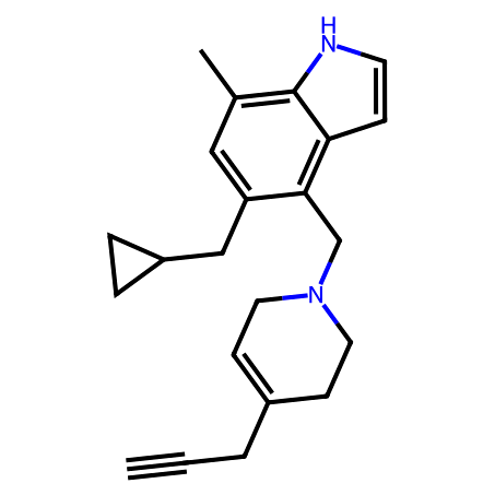 C#CCC1=CCN(Cc2c(CC3CC3)cc(C)c3[nH]ccc23)CC1